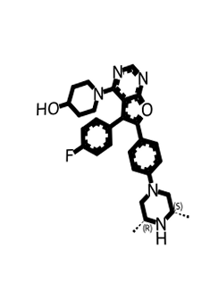 C[C@@H]1CN(c2ccc(-c3oc4ncnc(N5CCC(O)CC5)c4c3-c3ccc(F)cc3)cc2)C[C@H](C)N1